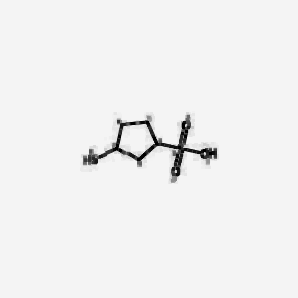 O=S(=O)(O)C1CCC(S)C1